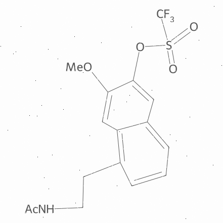 COc1cc2c(CCNC(C)=O)cccc2cc1OS(=O)(=O)C(F)(F)F